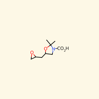 CC1(C)OC(CC2CO2)CN1C(=O)O